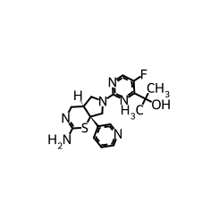 CC(C)(O)c1nc(N2C[C@@H]3CN=C(N)S[C@@]3(c3cccnc3)C2)ncc1F